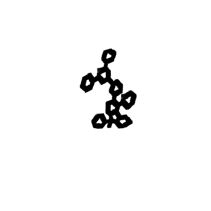 CC1(c2ccccc2)c2ccccc2-c2c1ccc(-c1cccc(-c3cc(-c4ccccc4)nc(-c4ccccc4)c3)c1)c2-c1ccccn1